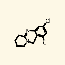 Clc1cc(Cl)c2c(c1)N=C1CCCCN1C2